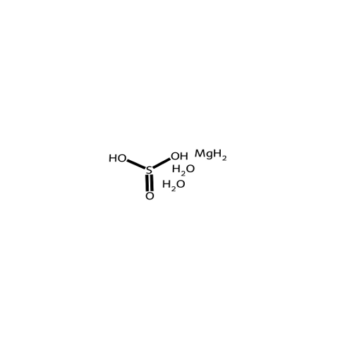 O.O.O=S(O)O.[MgH2]